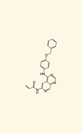 C=CC(=O)Nc1cc2c(Nc3ccc(OCc4ccccc4)cc3)ncnc2cn1